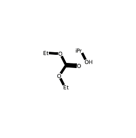 CC(C)O.CCOC(=O)OCC